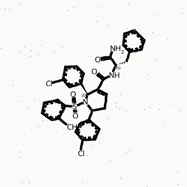 Cc1ccccc1S(=O)(=O)N1C(c2ccc(Cl)cc2)CC=C(C(=O)N[C@@H](Cc2ccccc2)C(N)=O)[C@@H]1c1cccc(Cl)c1